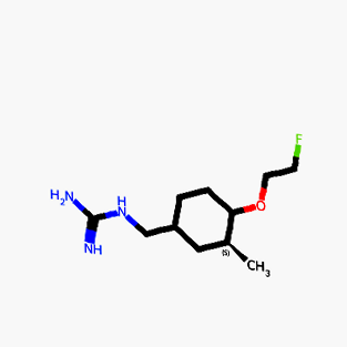 C[C@H]1CC(CNC(=N)N)CCC1OCCF